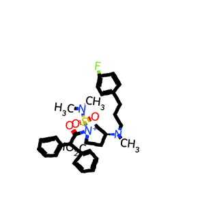 CN(CCCc1ccc(F)cc1)[C@H]1C[C@@H](C(=O)O)[N+](C(=O)C(c2ccccc2)c2ccccc2)(S(=O)(=O)N(C)C)C1